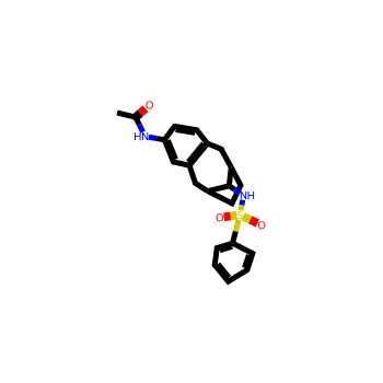 CC(=O)Nc1ccc2c(c1)CC1CCC(C2)C1NS(=O)(=O)c1ccccc1